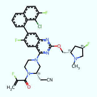 C=C(F)C(=O)N1CCN(c2nc(OC[C@@H]3C[C@@H](F)CN3C)nc3cc(-c4cccc5ccc(F)c(Cl)c45)c(F)cc23)C[C@@H]1CC#N